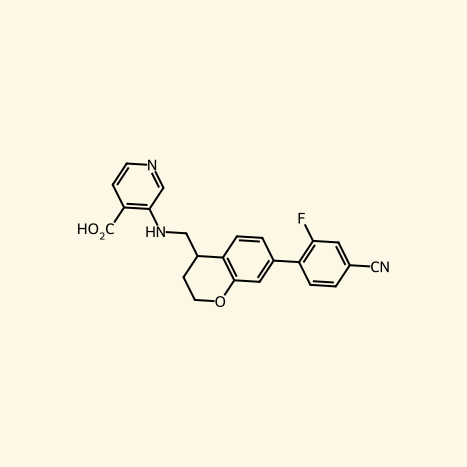 N#Cc1ccc(-c2ccc3c(c2)OCCC3CNc2cnccc2C(=O)O)c(F)c1